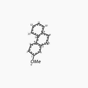 COc1ccc2c(c1)ncc1ccccc12